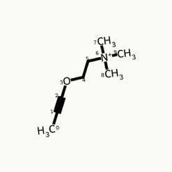 CC#COCC[N+](C)(C)C